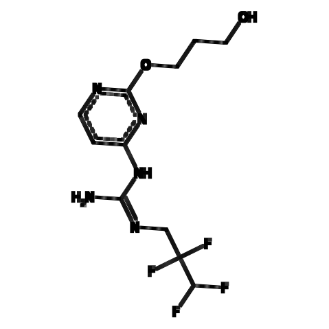 N/C(=N/CC(F)(F)C(F)F)Nc1ccnc(OCCCO)n1